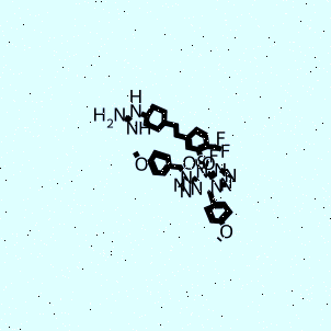 COc1ccc(Cn2nnnc2N(c2nnnn2Cc2ccc(OC)cc2)S(=O)(=O)c2cc(CCC3CCC(NC(=N)N)CC3)ccc2C(F)(F)F)cc1